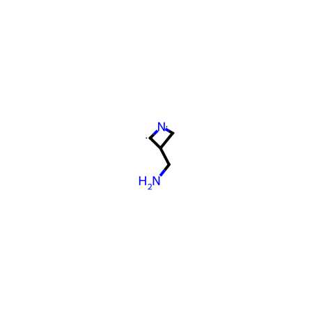 NCC1[CH][N]C1